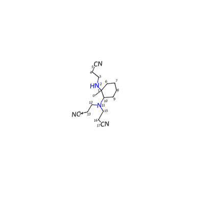 CC1(NCCC#N)CCCCC1N(CCC#N)CCC#N